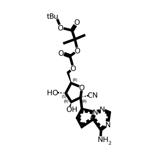 CC(C)(C)OC(=O)C(C)(C)OC(=O)OC[C@H]1O[C@@](C#N)(c2ccc3c(N)ncnn23)[C@H](O)[C@@H]1O